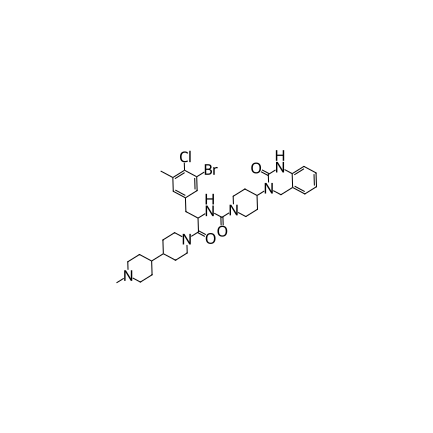 Cc1cc(CC(NC(=O)N2CCC(N3Cc4ccccc4NC3=O)CC2)C(=O)N2CCC(C3CCN(C)CC3)CC2)cc(Br)c1Cl